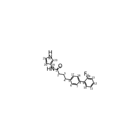 O=C(CCCc1ccc(-c2ccccc2F)cc1)Nc1cc[nH]c1